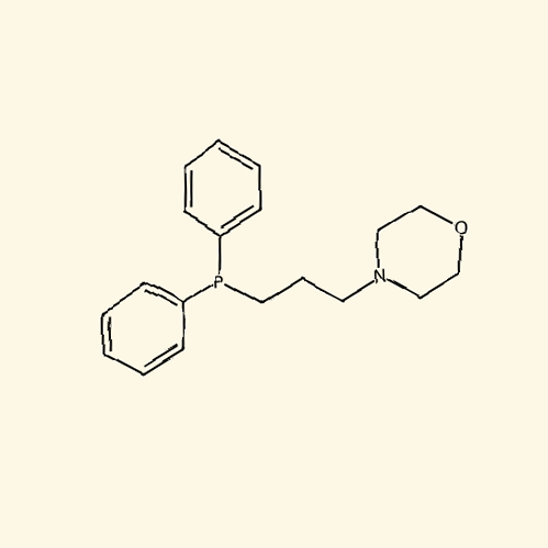 c1ccc(P(CCCN2CCOCC2)c2ccccc2)cc1